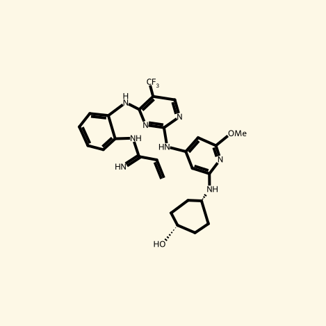 C=CC(=N)Nc1ccccc1Nc1nc(Nc2cc(N[C@H]3CC[C@@H](O)CC3)nc(OC)c2)ncc1C(F)(F)F